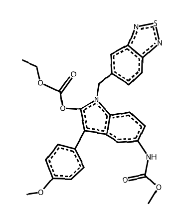 CCOC(=O)Oc1c(-c2ccc(OC)cc2)c2cc(NC(=O)OC)ccc2n1Cc1ccc2nsnc2c1